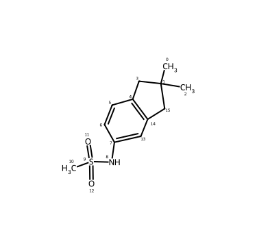 CC1(C)Cc2ccc(NS(C)(=O)=O)cc2C1